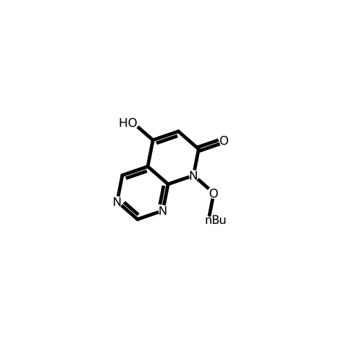 CCCCOn1c(=O)cc(O)c2cncnc21